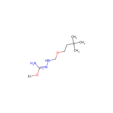 CCO/C(N)=N/NCOCC[Si](C)(C)C